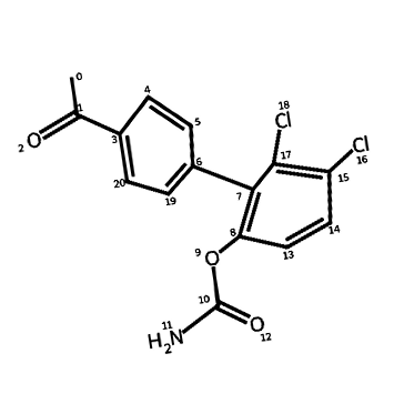 CC(=O)c1ccc(-c2c(OC(N)=O)ccc(Cl)c2Cl)cc1